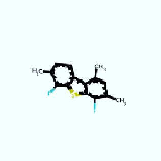 Cc1ccc2c(sc3c(F)c(C)cc(C)c32)c1F